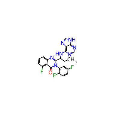 CCC(Nc1ncnc2[nH]cnc12)c1nc2cccc(F)c2c(=O)n1-c1cc(F)ccc1F